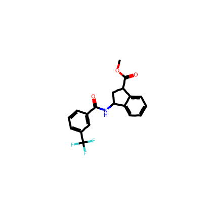 COC(=O)C1CC(NC(=O)c2cccc(C(F)(F)F)c2)c2ccccc21